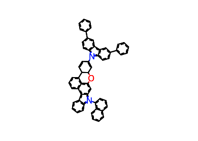 C1=CC2c3cccc4c3c(cc3c4c4ccccc4n3-c3cccc4ccccc34)OC2C=C1n1c2ccc(-c3ccccc3)cc2c2cc(-c3ccccc3)ccc21